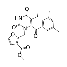 CCc1c(C(=O)c2cc(C)cc(C)c2)n(Cc2occc2C(=O)OC)c(=O)[nH]c1=O